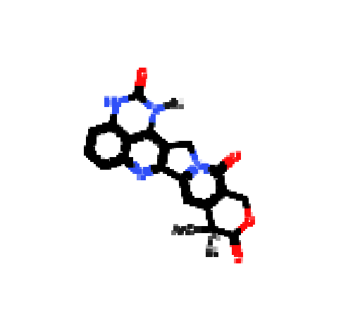 CCN1C(=O)Nc2cccc3nc4c(c1c23)Cn1c-4cc2c(c1=O)COC(=O)[C@@]2(CC)OC(C)=O